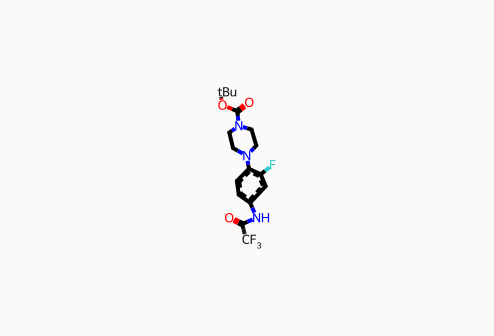 CC(C)(C)OC(=O)N1CCN(c2ccc(NC(=O)C(F)(F)F)cc2F)CC1